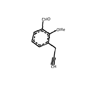 C#CCc1cccc(C=O)c1OC